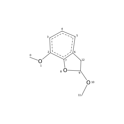 COc1cccc2c1OC(OC)C2